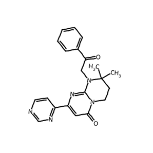 CC1(C)CCn2c(nc(-c3ccncn3)cc2=O)N1CC(=O)c1ccccc1